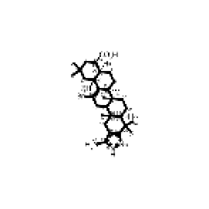 CC1(C)C[C@@H](C(=O)O)[C@H]2CC[C@]3(C)C(=C(Br)CC4[C@@]5(C)Cc6c(n[nH]c6N)C(C)(C)[C@@H]5CC[C@]43C)[C@@H]2C1